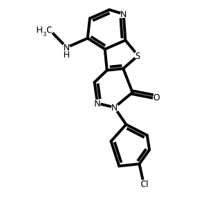 CNc1ccnc2sc3c(=O)n(-c4ccc(Cl)cc4)ncc3c12